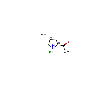 COC(=O)[C@@H]1C[C@@H](SC)CN1.Cl